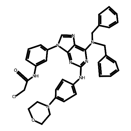 O=C(CCl)Nc1cccc(-n2cnc3c(N(Cc4ccccc4)Cc4ccccc4)nc(Nc4ccc(N5CCOCC5)cc4)nc32)c1